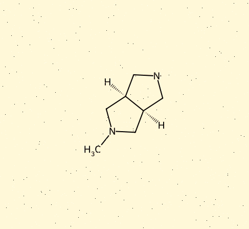 CN1C[C@H]2C[N]C[C@H]2C1